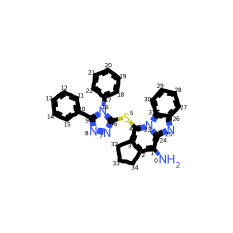 Nc1c2c(c(Sc3nnc(-c4ccccc4)n3-c3ccccc3)n3c1nc1ccccc13)CCC2